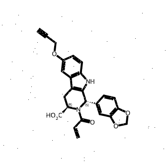 C#CCOc1ccc2[nH]c3c(c2c1)C[C@H](C(=O)O)N(C(=O)C=C)[C@H]3c1ccc2c(c1)OCO2